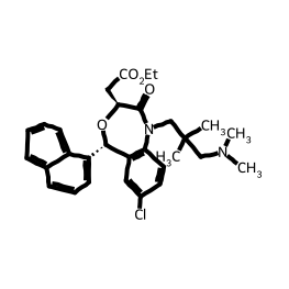 CCOC(=O)C[C@@H]1O[C@@H](c2cccc3ccccc23)c2cc(Cl)ccc2N(CC(C)(C)CN(C)C)C1=O